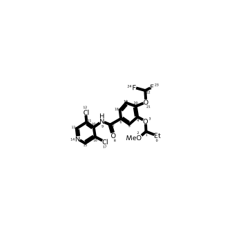 CCC(OC)Oc1cc(C(=O)Nc2c(Cl)cncc2Cl)ccc1OC(F)F